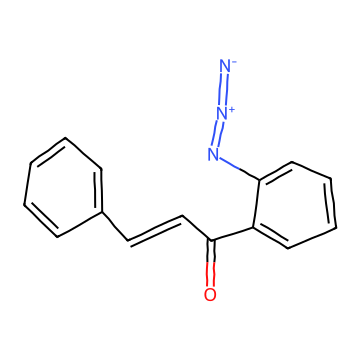 [N-]=[N+]=Nc1ccccc1C(=O)C=Cc1ccccc1